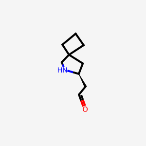 O=CC[C@@H]1CC2(CCC2)CN1